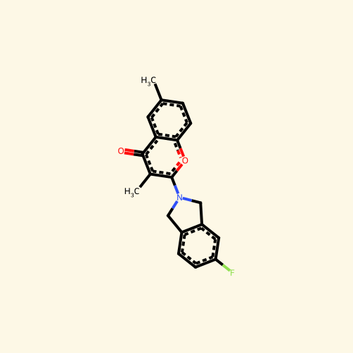 Cc1ccc2oc(N3Cc4ccc(F)cc4C3)c(C)c(=O)c2c1